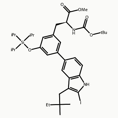 CCC(C)(C)Cc1c(I)[nH]c2ccc(-c3cc(C[C@H](NC(=O)OC(C)(C)C)C(=O)OC)cc(O[Si](C(C)C)(C(C)C)C(C)C)c3)cc12